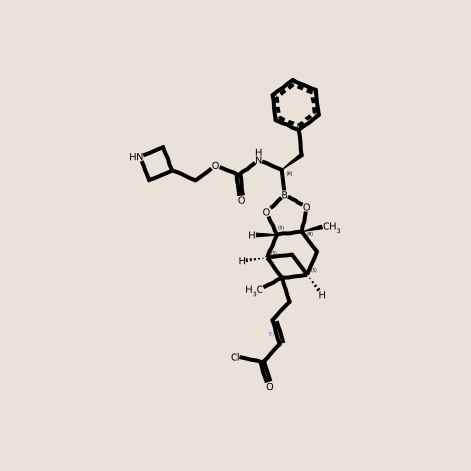 CC1(C/C=C/C(=O)Cl)[C@H]2C[C@@H]1[C@@H]1OB([C@H](Cc3ccccc3)NC(=O)OCC3CNC3)O[C@]1(C)C2